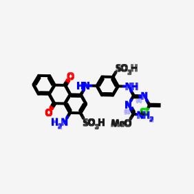 C=C(Cl)/N=C(\N=C(/N)OC)Nc1ccc(Nc2cc(S(=O)(=O)O)c(N)c3c2C(=O)c2ccccc2C3=O)cc1S(=O)(=O)O